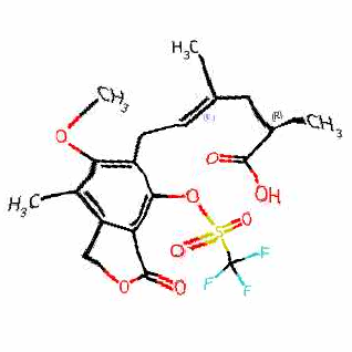 COc1c(C)c2c(c(OS(=O)(=O)C(F)(F)F)c1C/C=C(\C)C[C@@H](C)C(=O)O)C(=O)OC2